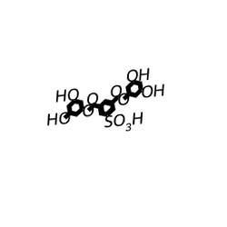 O=C(OC1CC(O)CC(O)C1)c1cc(C(=O)OC2CC(O)CC(O)C2)cc(S(=O)(=O)O)c1